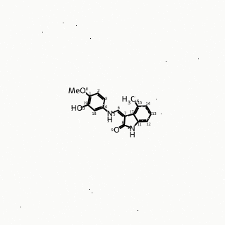 COc1ccc(NC=C2C(=O)Nc3cccc(C)c32)cc1O